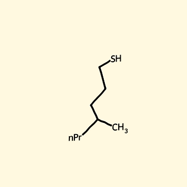 CCCC(C)CCCS